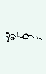 CCCCCCc1ccc(CNCCC(O)P(=O)(O)O)cc1